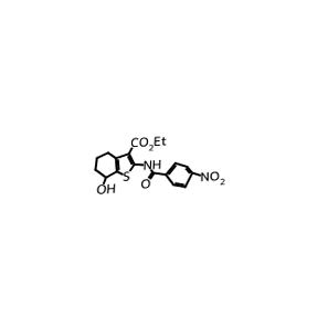 CCOC(=O)c1c(NC(=O)c2ccc([N+](=O)[O-])cc2)sc2c1CCCC2O